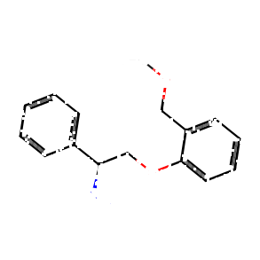 N[C@H](COc1ccccc1COC=O)c1ccccc1